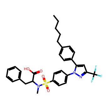 CCCCCc1ccc(-c2cc(C(F)(F)F)nn2-c2ccc(S(=O)(=O)N(C)C(Cc3ccccc3)C(=O)O)cc2)cc1